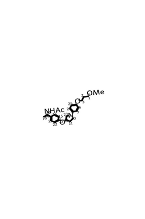 COCCCOc1ccc(N2CCC(Oc3ccc([C@H](C)NC(C)=O)cc3)C2)cc1